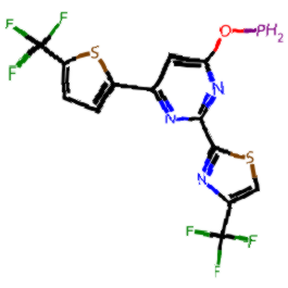 FC(F)(F)c1csc(-c2nc(OP)cc(-c3ccc(C(F)(F)F)s3)n2)n1